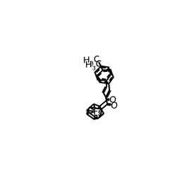 Cc1ccc(C=CC(=O)[C]23[CH]4[CH]5[CH]6[CH]2[Fe]56432789[CH]3[CH]2[CH]7[C]8(C(=O)C=Cc2ccc(C)cc2)[CH]39)cc1